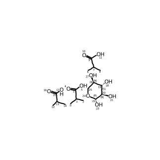 CC(C)C(=O)O.CC(C)C(=O)O.CC(C)C(=O)O.O[C@@H]1[C@@H](O)[C@H](O)OC[C@H]1O